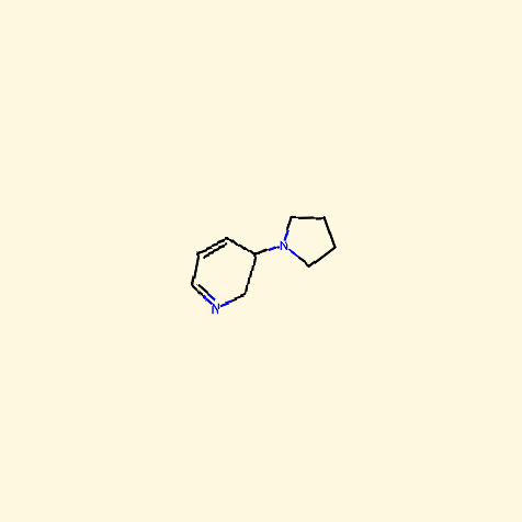 C1=C[C](N2CCCC2)CN=C1